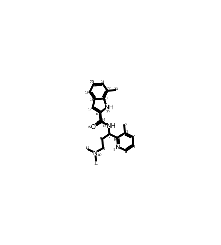 Cc1cccnc1C(CCN(C)C)NC(=O)c1cc2cccc(C)c2[nH]1